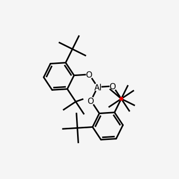 CC(C)(C)[O][Al]([O]c1c(C(C)(C)C)cccc1C(C)(C)C)[O]c1c(C(C)(C)C)cccc1C(C)(C)C